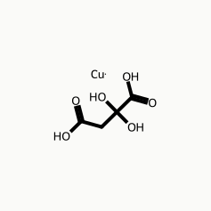 O=C(O)CC(O)(O)C(=O)O.[Cu]